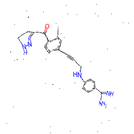 Cc1cc(C#CCNc2ccc(C(=N)N)cc2)ccc1C(=O)C1=NNCC1